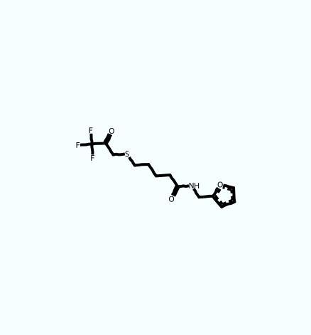 O=C(CCCCSCC(=O)C(F)(F)F)NCc1ccco1